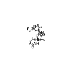 CC(NC(=O)[C@H]1CCCC(=O)N1)c1nc(-c2ccnc(C(F)(F)F)c2)no1